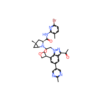 CC(=O)c1nn(CC(=O)N2C3C[C@]3(C)C[C@H]2C(=O)Nc2nc(Br)ccc2C)c2c(C3COC3)cc(-c3cnc(C)nc3)cc12